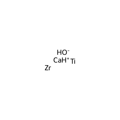 [CaH+].[OH-].[Ti].[Zr]